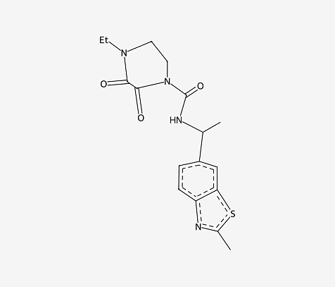 CCN1CCN(C(=O)NC(C)c2ccc3nc(C)sc3c2)C(=O)C1=O